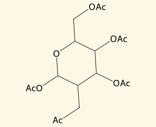 CC(=O)CC1C(OC(C)=O)OC(COC(C)=O)C(OC(C)=O)C1OC(C)=O